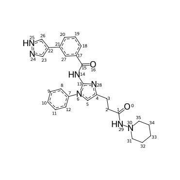 O=C(CCc1cn(-c2ccccc2)c(NC(=O)c2cccc(-c3cn[nH]c3)c2)n1)NN1CCCCC1